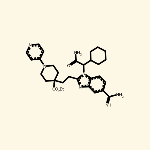 CCOC(=O)C1(CCc2nc3cc(C(=N)N)ccc3n2C(C(N)=O)C2CCCCC2)CCN(c2ccncc2)CC1